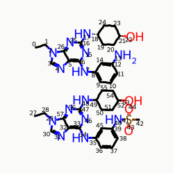 CCn1cnc2c(Nc3cccc(N)c3)nc(N[C@H]3CC[C@H](O)CC3)nc21.CCn1cnc2c(Nc3cccc(NS(C)(=O)=O)c3)nc(NC3CCC(O)CC3)nc21